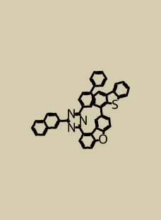 c1ccc(-c2ccc(-c3nc(-c4ccc5ccccc5c4)nc(-c4cccc5oc6ccc(-c7cccc8c7sc7ccccc78)cc6c45)n3)cc2)cc1